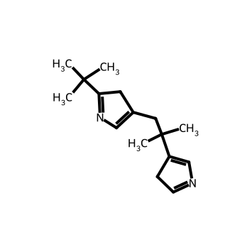 CC(C)(C)C1=NC=C(CC(C)(C)C2=CN=CC2)C1